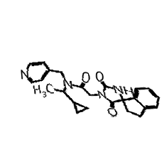 CC(C1CC1)N(Cc1ccncc1)C(=O)CN1C(=O)NC2(CCc3ccccc32)C1=O